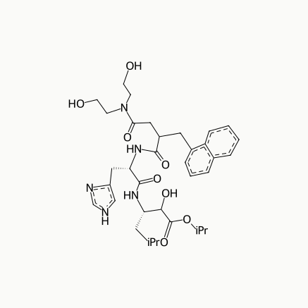 CC(C)C[C@H](NC(=O)[C@H](Cc1c[nH]cn1)NC(=O)C(CC(=O)N(CCO)CCO)Cc1cccc2ccccc12)C(O)C(=O)OC(C)C